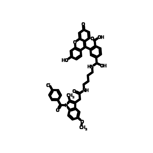 COc1ccc2c(c1)c(CC(=O)NCCCCNC(O)c1ccc(C(=O)O)c(-c3c4ccc(=O)cc-4oc4cc(O)ccc34)c1)c(C)n2C(=O)c1ccc(Cl)cc1